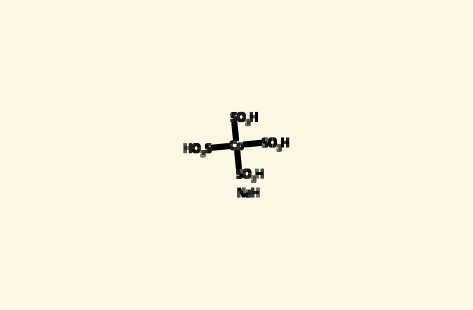 O=[S](=O)(O)[Co]([S](=O)(=O)O)([S](=O)(=O)O)[S](=O)(=O)O.[NaH]